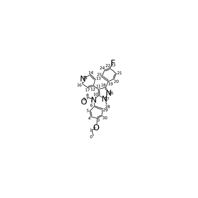 CCOc1ccc(N(C=O)c2c(-c3ccncc3)c(-c3ccc(F)cc3)nn2C)cc1